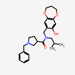 CC(C)CN(Cc1cc2c(cc1O)OCCCO2)C(=O)C1CCN(Cc2ccccc2)C1